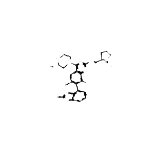 CN1CCCC1COc1nc(N2CCN[C@@H](CO)C2)c2cc(Cl)c(-c3cccc4sc(N)nc34)c(F)c2n1